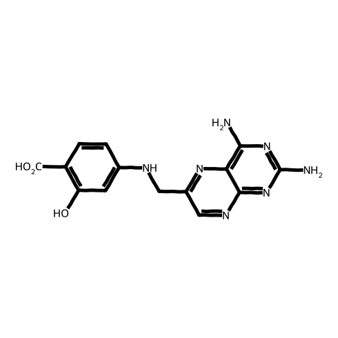 Nc1nc(N)c2nc(CNc3ccc(C(=O)O)c(O)c3)cnc2n1